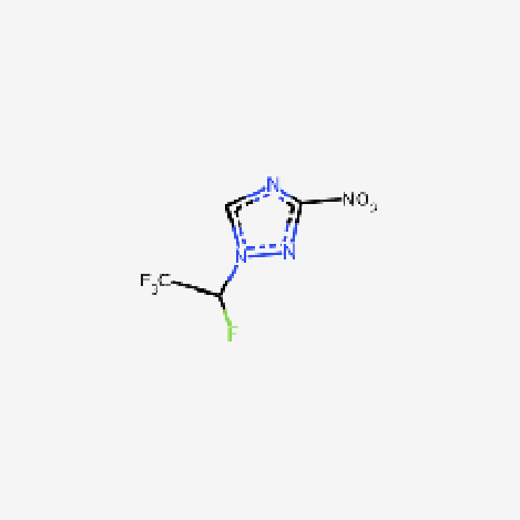 O=[N+]([O-])c1ncn(C(F)C(F)(F)F)n1